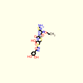 C=CCO/N=C(\C(=O)N[C@@H]1C(=O)N2C(C(=O)O)=C(CSc3nnc(-c4ccc(O)c(O)c4)o3)CS[C@H]12)c1csc(N)n1